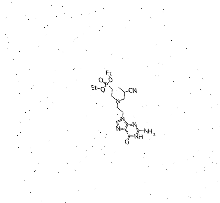 CCOP(=O)(CCN(CCn1cnc2c(=O)[nH]c(N)nc21)CC(C)C#N)OCC